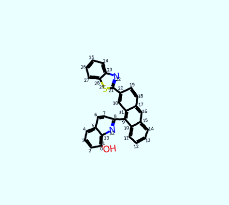 Oc1cccc2ccc(-c3c4ccccc4cc4ccc(-c5nc6ccccc6s5)cc34)nc12